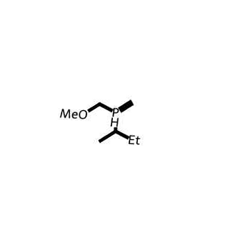 C=[PH](COC)C(C)CC